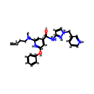 COCCN(C)c1cc(C(=O)Nc2ccn(Cc3cccnc3)n2)cc(Oc2ccccc2)n1